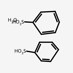 O.O=S(=O)(O)c1ccccc1.O=S(=O)(O)c1ccccc1